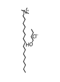 CCCCCCCCCCCCCCCC[N+](C)(C)C.CCCCO.[Cl-]